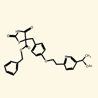 CC(=O)O[C@H](C)c1ccc(CCOc2ccc(CC3(C(=O)OCc4ccccc4)SC(=O)NC3=O)cc2)nc1